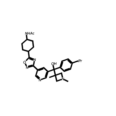 CC(=O)NC1CCC(c2nc(-c3cncc(C(O)(c4ccc(C(C)C)cc4)C4(C)CN(C)C4)c3)no2)CC1